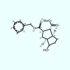 COC(=O)[C@@H]1[C@H]2CCC(O)[C@H]2CN1C(=O)OCc1ccccc1